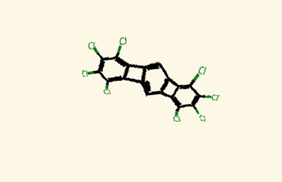 Clc1c(Cl)c(Cl)c2c3cc4c(cc3c2c1Cl)c1c(Cl)c(Cl)c(Cl)c(Cl)c41